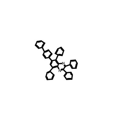 c1ccc(-c2ccc(-c3cc(-c4ccccc4)c4nc(-c5ccccc5)c(-c5ccccc5)nc4c3-c3ccccc3)cc2)cc1